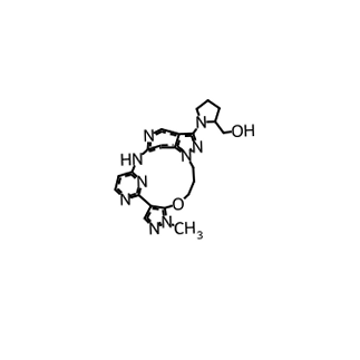 Cn1ncc2c1OCCCn1nc(N3CCCC3CO)c3cnc(cc31)Nc1ccnc-2n1